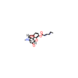 C/C=C/C=C/C(=O)OC1=C2O[C@H]3C(=O)CC45C[C@]36C2C(C=C1)C[C@@H](N4C)[C@]56O